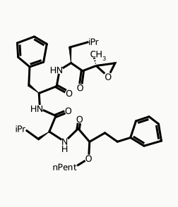 CCCCCOC(CCc1ccccc1)C(=O)N[C@@H](CC(C)C)C(=O)N[C@@H](Cc1ccccc1)C(=O)N[C@@H](CC(C)C)C(=O)[C@@]1(C)CO1